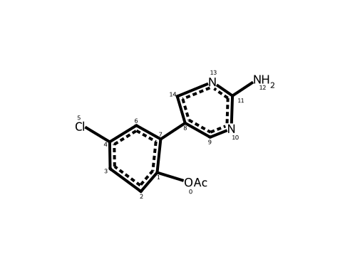 CC(=O)Oc1ccc(Cl)cc1-c1cnc(N)nc1